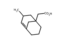 CC1C=C2CCCC(CC(=O)O)(C2)C1